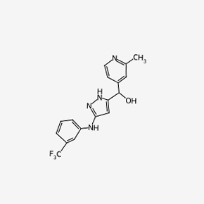 Cc1cc(C(O)c2cc(Nc3cccc(C(F)(F)F)c3)n[nH]2)ccn1